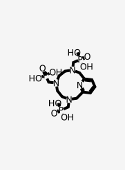 O=P(O)(O)CN1CCN(CP(=O)(O)O)Cc2cccc(n2)CN(CP(=O)(O)O)CC1